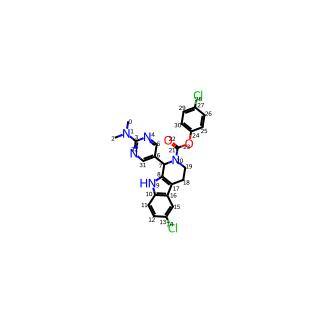 CN(C)c1ncc(C2c3[nH]c4ccc(Cl)cc4c3CCN2C(=O)Oc2ccc(Cl)cc2)cn1